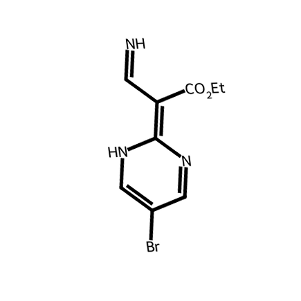 CCOC(=O)/C(C=N)=C1\N=CC(Br)=CN1